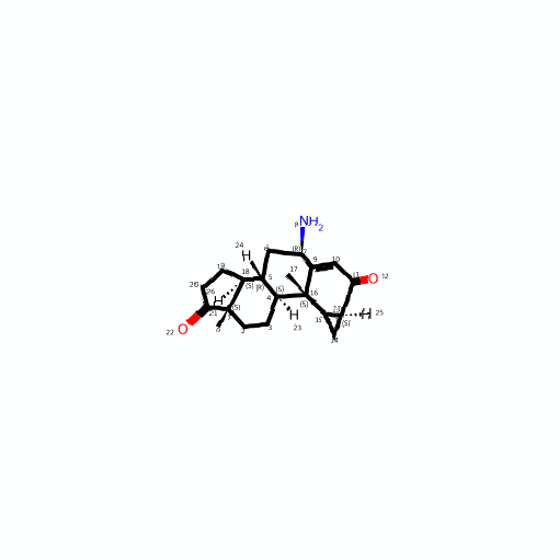 C[C@]12CC[C@H]3[C@@H](C[C@@H](N)C4=CC(=O)[C@H]5CC5[C@@]43C)[C@@H]1CCC2=O